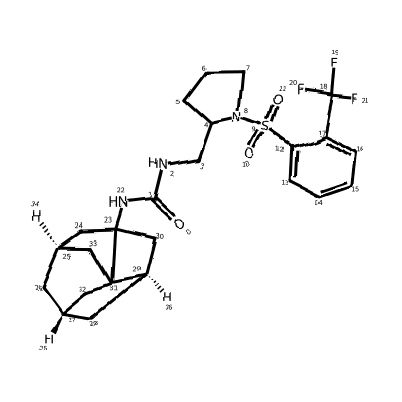 O=C(NCC1CCCN1S(=O)(=O)c1ccccc1C(F)(F)F)NC12C[C@@H]3C[C@H]4C[C@H](C1)C2(C4)C3